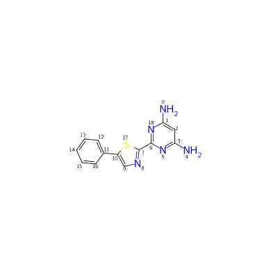 Nc1cc(N)nc(-c2ncc(-c3ccccc3)s2)n1